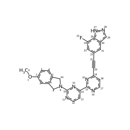 COc1ccc2c(c1)CN(c1nccc(-c3nccc(C#Cc4cc(F)c5[nH]ncc5c4)n3)n1)C2